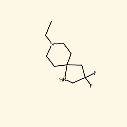 CCN1CCC2(CC1)CC(F)(F)CN2